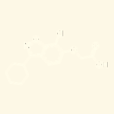 O=C(O)COc1ccc2c(C3CCCCC3)noc2c1Cl